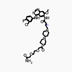 COc1cc2ncnc(Nc3ccc(F)c(Cl)c3)c2cc1NC(=O)/C=C/CN1CCC(N2CCN(C(=O)COCCOCC(N)=O)CC2)CC1